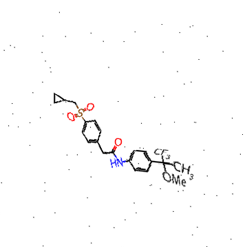 COC(C)(c1ccc(NC(=O)Cc2ccc(S(=O)(=O)CC3CC3)cc2)cc1)C(F)(F)F